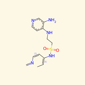 C=N/C=C\C(=C/C)NS(=O)(=O)CCNc1ccncc1N